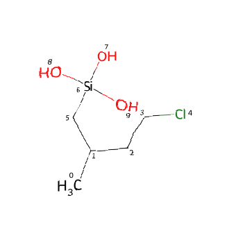 CC(CCCl)C[Si](O)(O)O